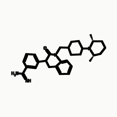 C[C@@H]1CCC[C@H](C)N1C1CCC(CN2C(=O)C(c3cccc(C(=N)N)c3)Cc3ccccc32)CC1